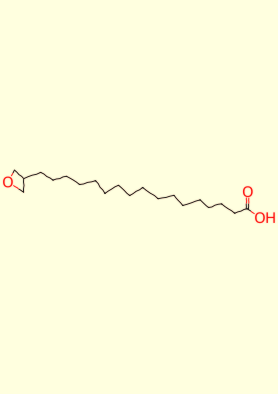 O=C(O)CCCCCCCCCCCCCCCCC1COC1